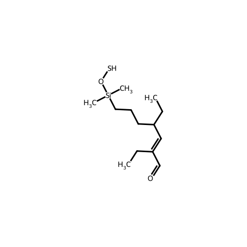 CC/C(C=O)=C\C(CC)CCC[Si](C)(C)OS